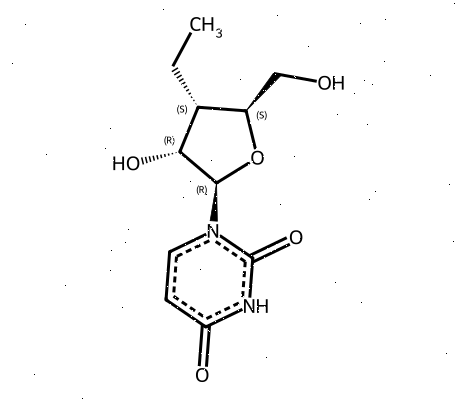 CC[C@H]1[C@@H](O)[C@H](n2ccc(=O)[nH]c2=O)O[C@@H]1CO